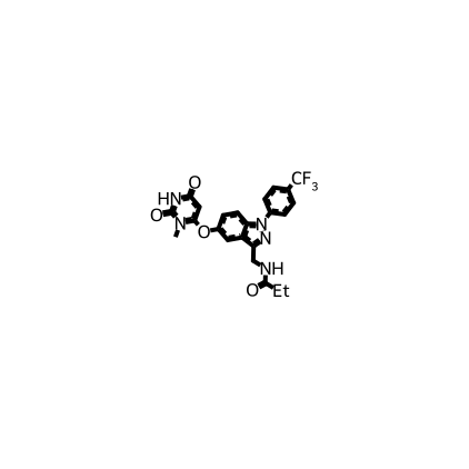 CCC(=O)NCc1nn(-c2ccc(C(F)(F)F)cc2)c2ccc(Oc3cc(=O)[nH]c(=O)n3C)cc12